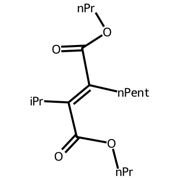 CCCCCC(C(=O)OCCC)=C(C(=O)OCCC)C(C)C